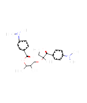 CCC(C)(OCC(C)C(C)OC(=O)c1ccc(N(C)C)cc1)C(=O)c1ccc(N(C)C)cc1